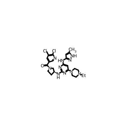 CCN1CCN(c2cc(Nc3cc(C)[nH]n3)nc(N[C@H]3CCN(C(=O)c4cnc(Cl)c(Cl)c4)C3)n2)CC1